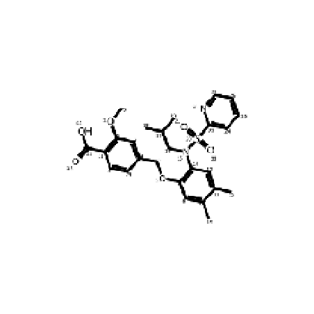 COc1cc(COc2cc(C)c(C)cc2N(CC(C)C)S(=O)(=O)c2ccccn2)ccc1C(=O)O